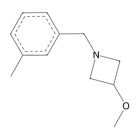 COC1CN(Cc2cccc(C)c2)C1